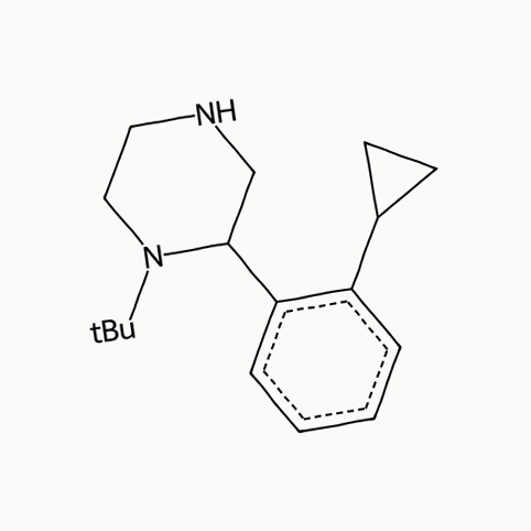 CC(C)(C)N1CCNCC1c1ccccc1C1CC1